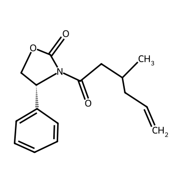 C=CCC(C)CC(=O)N1C(=O)OC[C@H]1c1ccccc1